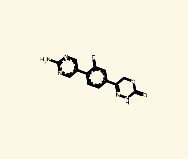 Nc1ncc(-c2ccc(C3=NNC(=O)OC3)cc2F)cn1